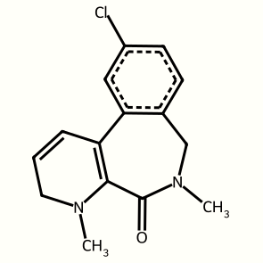 CN1Cc2ccc(Cl)cc2C2=C(C1=O)N(C)CC=C2